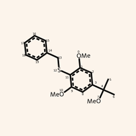 COc1cc(C(C)(C)OC)cc(OC)c1SCc1ccccc1